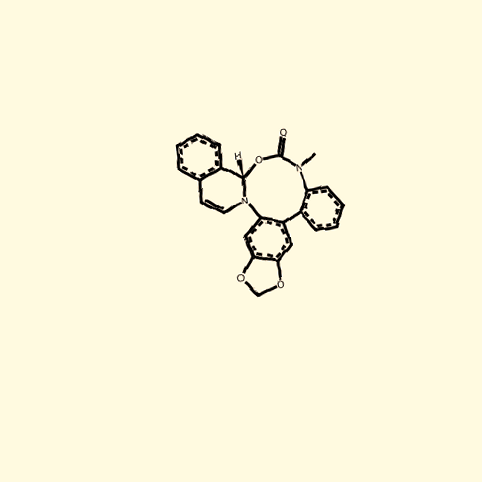 CN1C(=O)O[C@H]2c3ccccc3C=CN2c2cc3c(cc2-c2ccccc21)OCO3